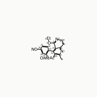 CCOc1nncc2nc(C)c(C(C)=O)c(-c3ccc(C#N)cc3OC)c12